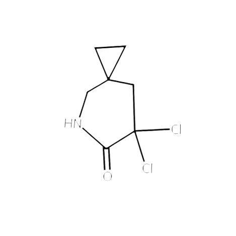 O=C1NCC2(CC2)CC1(Cl)Cl